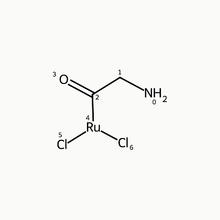 NC[C](=O)[Ru]([Cl])[Cl]